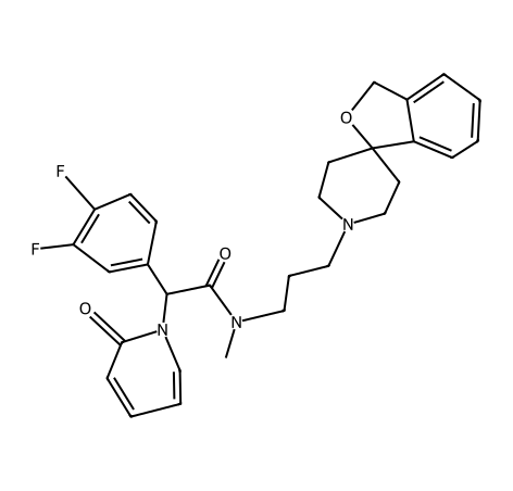 CN(CCCN1CCC2(CC1)OCc1ccccc12)C(=O)C(c1ccc(F)c(F)c1)n1ccccc1=O